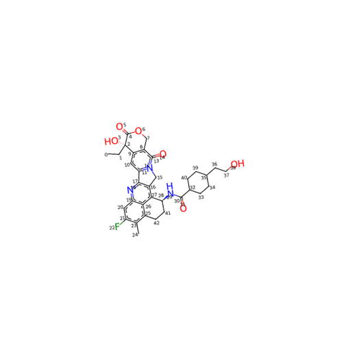 CC[C@@]1(O)C(=O)OCc2c1cc1n(c2=O)Cc2c-1nc1cc(F)c(C)c3c1c2[C@@H](NC(=O)C1CCC(CCO)CC1)CC3